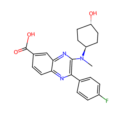 CN(c1nc2cc(C(=O)O)ccc2nc1-c1ccc(F)cc1)[C@H]1CC[C@H](O)CC1